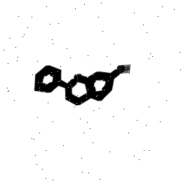 Oc1ccc2c(c1)O[C@H](c1ccccc1)CC2